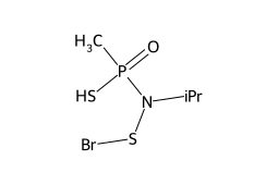 CC(C)N(SBr)P(C)(=O)S